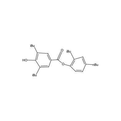 CCCCc1ccc(OC(=O)c2cc(C(C)CC)c(O)c(C(C)CC)c2)c(C(C)CC)c1